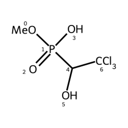 COP(=O)(O)C(O)C(Cl)(Cl)Cl